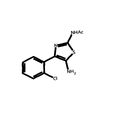 CC(=O)Nc1nc(-c2ccccc2Cl)c(N)s1